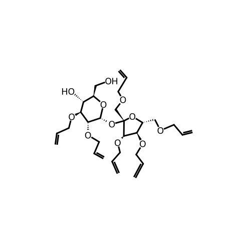 C=CCOC[C@H]1O[C@@](COCC=C)(O[C@H]2O[C@H](CO)[C@@H](O)[C@H](OCC=C)[C@H]2OCC=C)[C@@H](OCC=C)[C@@H]1OCC=C